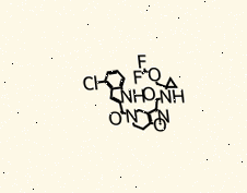 O=C(NC1(COC(F)F)CC1)c1noc2c1CN(C(=O)c1cc3c(Cl)cccc3[nH]1)CC2